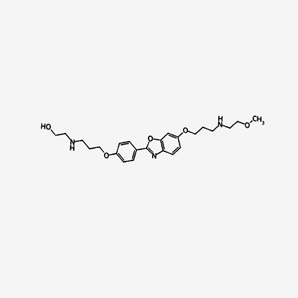 COCCNCCCOc1ccc2nc(-c3ccc(OCCCNCCO)cc3)oc2c1